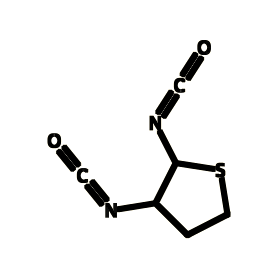 O=C=NC1CCSC1N=C=O